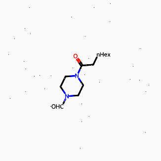 CCCCCCCC(=O)N1CCN([C]=O)CC1